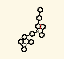 c1ccc(-c2ccc(-c3ccc(N(c4ccc(-c5ccccc5-c5ccccc5-n5c6ccccc6c6ccccc65)cc4)c4ccccc4-c4ccccc4)cc3)cc2)cc1